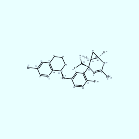 NC1=N[C@@](c2cc(N[C@@H]3CCCc4cc(Br)cnc43)ccc2F)(C(F)F)[C@H]2C[C@H]2O1